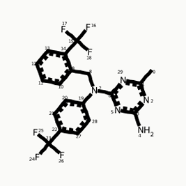 Cc1nc(N)nc(N(Cc2ccccc2C(F)(F)F)c2ccc(C(F)(F)F)cc2)n1